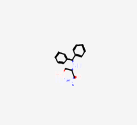 CN(N)C(=O)C(CO)NC(c1ccccc1)c1ccccc1